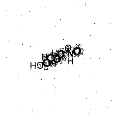 C[C@]12CC[C@H]3[C@@H](CC[C@@H]4C[C@H](O)CC[C@@H]43)[C@@H]1CC[C@H](C(=O)Nc1ccccc1)C2